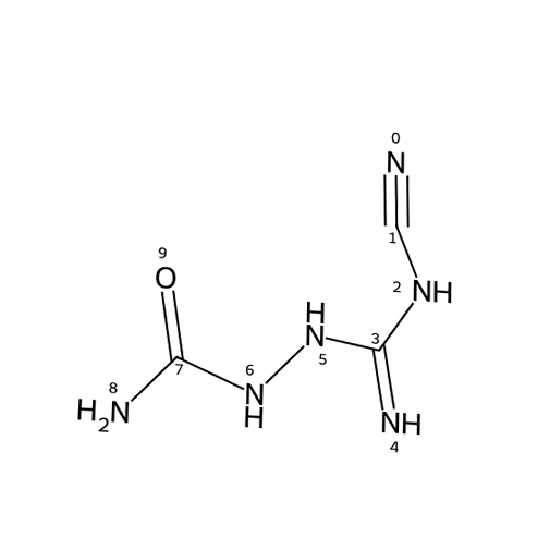 N#CNC(=N)NNC(N)=O